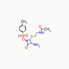 CC(=O)NCCSC1C(N)C(=O)N1OS(=O)(=O)c1ccc(C)cc1